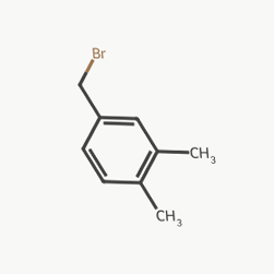 Cc1ccc(CBr)cc1C